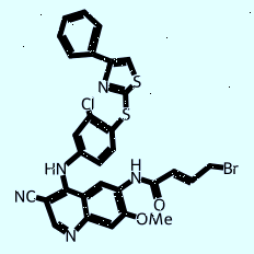 COc1cc2ncc(C#N)c(Nc3ccc(Sc4nc(-c5ccccc5)cs4)c(Cl)c3)c2cc1NC(=O)C=CCBr